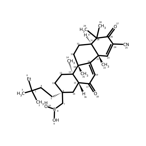 CCC(C)(C)CC[C@]1(CB(O)O)CC[C@]2(C)[C@@H](C1)C(=O)C=C1[C@@]3(C)C=C(C#N)C(=O)C(C)(C)[C@@H]3CC[C@]12C